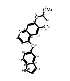 COC(C)Oc1cc2nccc(Oc3ccc4[nH]ccc4c3)c2cc1C#N